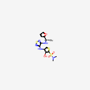 CN(C)S(=O)(=O)c1scc(Nc2nsnc2N[C@@H](c2ccco2)C(C)(C)C)c1O